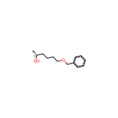 C[C@H](O)CCCCOCc1ccccc1